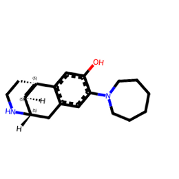 Oc1cc2c(cc1N1CCCCCC1)C[C@@H]1NCC[C@]23CCCC[C@H]13